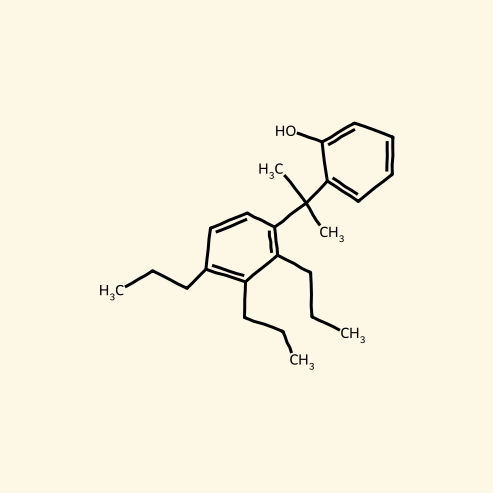 CCCc1ccc(C(C)(C)c2ccccc2O)c(CCC)c1CCC